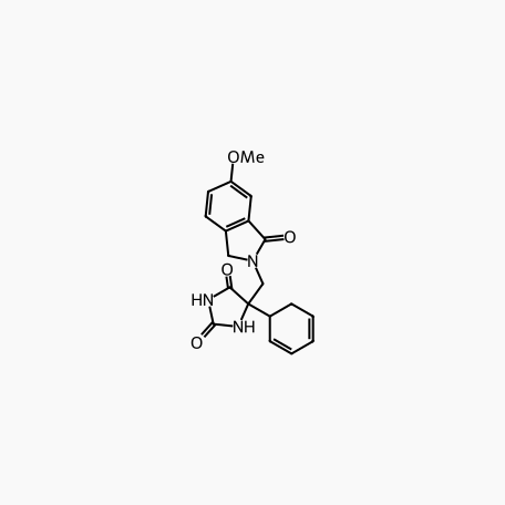 COc1ccc2c(c1)C(=O)N(CC1(C3C=CC=CC3)NC(=O)NC1=O)C2